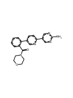 Nc1ncc(-c2ccc(-c3ccccc3C(=O)N3CCOCC3)cn2)cn1